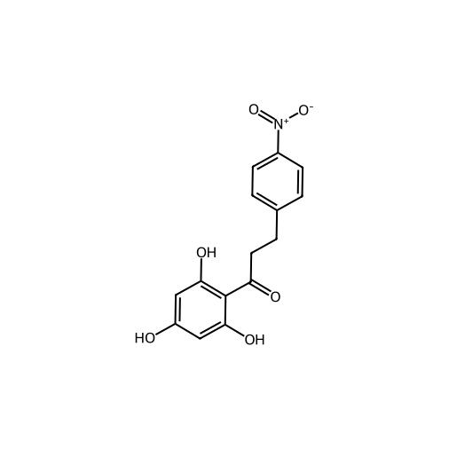 O=C(CCc1ccc([N+](=O)[O-])cc1)c1c(O)cc(O)cc1O